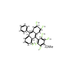 COc1c(F)c(F)c(-c2c3cc(F)c(F)cc3c(-c3ccccc3)c3cccc(F)c23)c(F)c1F